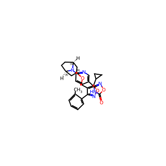 Cc1ccccc1-c1noc(C2CC2)c1CO[C@H]1C[C@H]2CC[C@@H](C1)N2c1ccc(-c2noc(=O)[nH]2)cn1